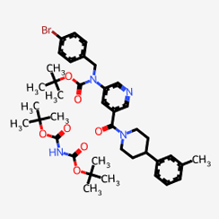 CC(C)(C)OC(=O)NC(=O)OC(C)(C)C.Cc1cccc(C2CCN(C(=O)c3cncc(N(Cc4ccc(Br)cc4)C(=O)OC(C)(C)C)c3)CC2)c1